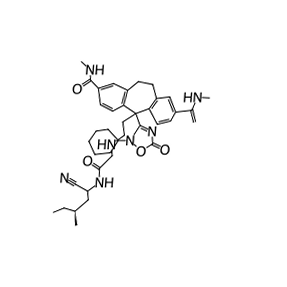 C=C(NC)c1ccc2c(c1)CCc1cc(C(=O)NC)ccc1C2(CCNCC(=O)NC(C#N)C[C@@H](C)CC)c1nc(=O)on1C1CCCCC1